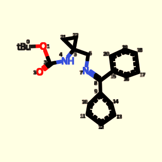 CC(C)(C)OC(=O)NC1(CN=C(c2ccccc2)c2ccccc2)CC1